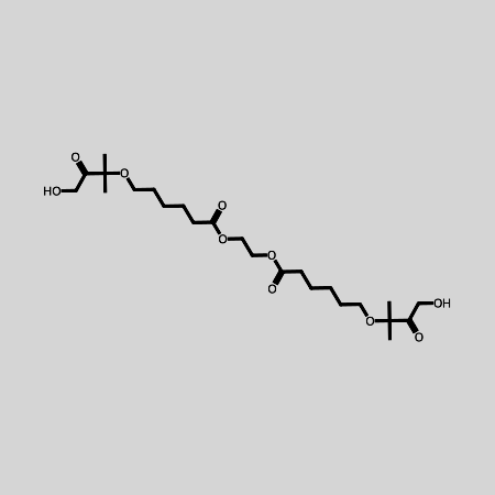 CC(C)(OCCCCCC(=O)OCCOC(=O)CCCCCOC(C)(C)C(=O)CO)C(=O)CO